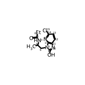 CCC(=O)NC(C)Cn1c(O)nc2ccc(Cl)nc21